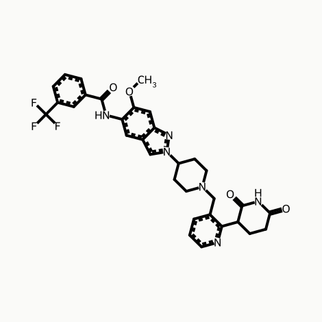 COc1cc2nn(C3CCN(Cc4cccnc4C4CCC(=O)NC4=O)CC3)cc2cc1NC(=O)c1cccc(C(F)(F)F)c1